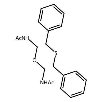 CC(=O)NCOCNC(C)=O.c1ccc(CSCc2ccccc2)cc1